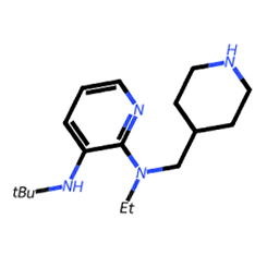 CCN(CC1CCNCC1)c1ncccc1NC(C)(C)C